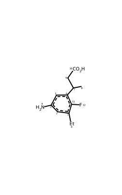 CCc1cc(N)cc(C(C)CC(=O)O)c1F